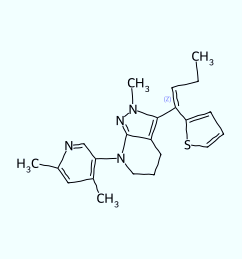 CC/C=C(\c1cccs1)c1c2c(nn1C)N(c1cnc(C)cc1C)CCC2